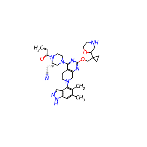 C=CC(=O)N1CCN(c2nc(OCC3(C4CNCCO4)CC3)nc3c2CCN(c2c(C)c(C)cc4[nH]ncc24)C3)C[C@@H]1CC#N